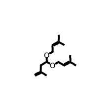 C=C(C)CC(OCC=C(C)C)OCC=C(C)C